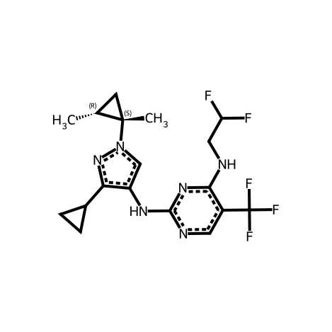 C[C@@H]1C[C@]1(C)n1cc(Nc2ncc(C(F)(F)F)c(NCC(F)F)n2)c(C2CC2)n1